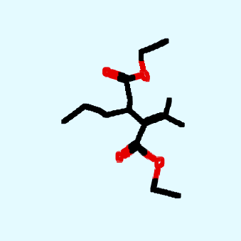 CCCC(C(=O)OCC)C(C(=O)OCC)=C(C)C